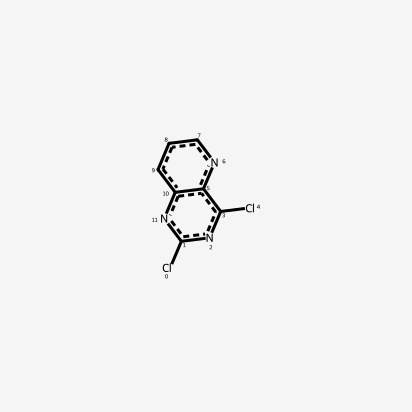 Clc1nc(Cl)c2ncccc2n1